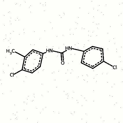 Cc1cc(NC(=O)Nc2ccc(Cl)cc2)ccc1Cl